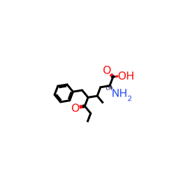 CCC(=O)C(Cc1ccccc1)C(C)C[C@H](N)C(=O)O